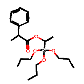 CCCO[Si](OCCC)(OCCC)C(C)OC(=O)C(C)c1ccccc1